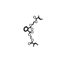 CC=C(C)C(=O)OCCOC(=O)c1ccccc1C(=O)OCCOC(=O)C(C)=CC